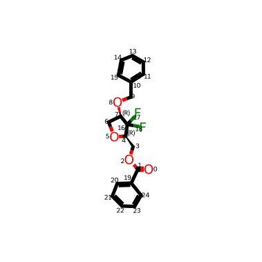 O=C(OC[C@H]1OC[C@@H](OCc2ccccc2)C1(F)F)c1ccccc1